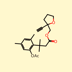 C#CC1(COC(=O)CC(C)(C)c2c(C)cc(C)cc2OC(C)=O)CCCO1